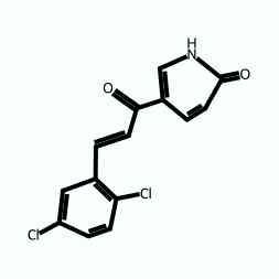 O=C(C=Cc1cc(Cl)ccc1Cl)c1ccc(=O)[nH]c1